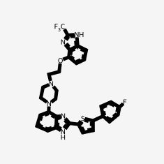 Fc1ccc(-c2ccc(-c3nc4c(N5CCN(CCOc6cccc7[nH]c(C(F)(F)F)nc67)CC5)cccc4[nH]3)s2)cc1